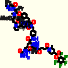 CC[C@H](C)[C@@H]([C@@H](CC(=O)N1CCC[C@H]1[C@H](OC)[C@@H](C)C(=O)N[C@@H](Cc1ccccc1)C(=O)NCc1ccc(NC(=O)[C@H](CCCNC(N)=O)NC(=O)[C@@H](NC(=O)CCC(=O)N2CCC(C(=O)Oc3c(F)c(F)c(F)c(F)c3F)CC2C)C(C)C)cc1)OC)N(C)C(=O)[C@@H](NC(=O)[C@H](C(C)C)N(C)C)C(C)C